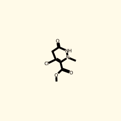 COC(=O)C1=C(Cl)CC(=O)NN1C